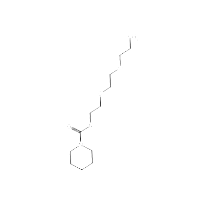 CCCOCCOCCNC(=O)N1CCCCC1